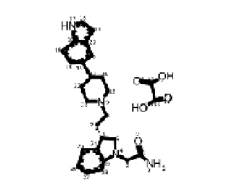 NC(=O)CN1C[C@@H](CCN2CCC(c3ccc4[nH]ccc4c3)CC2)c2ccccc21.O=C(O)C(=O)O